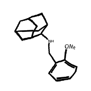 COc1ccccc1CNC1C2CC3CC(C2)CC1C3